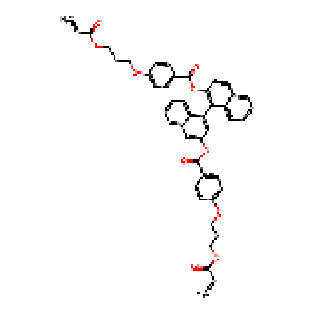 C=CC(=O)OCCCOc1ccc(C(=O)Oc2cc(-c3c(OC(=O)c4ccc(OCCCOC(=O)C=C)cc4)ccc4ccccc34)c3ccccc3c2)cc1